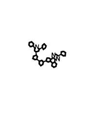 c1ccc(-c2cc(-c3cccc(-c4cccc(-c5ccc6c(c5)c5ccccc5c5nc(-c7ccccc7)cnc65)c4)c3)cc(-c3ccccc3)n2)cc1